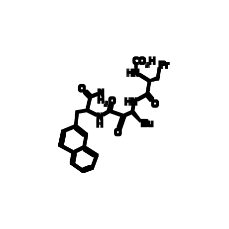 CC[C@H](C)C(NC(=O)[C@H](CC(C)C)NC(=O)O)C(=O)C(=O)NC(Cc1ccc2ccccc2c1)C(N)=O